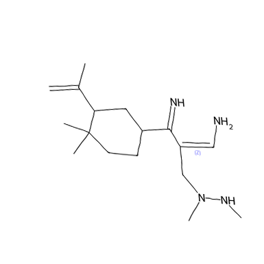 C=C(C)C1CC(C(=N)/C(=C\N)CN(C)NC)CCC1(C)C